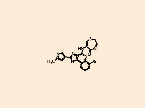 Cn1cc(-c2nc3c4cccc(Br)c4nc(NC4=CSCC=NC4=O)n3n2)cn1